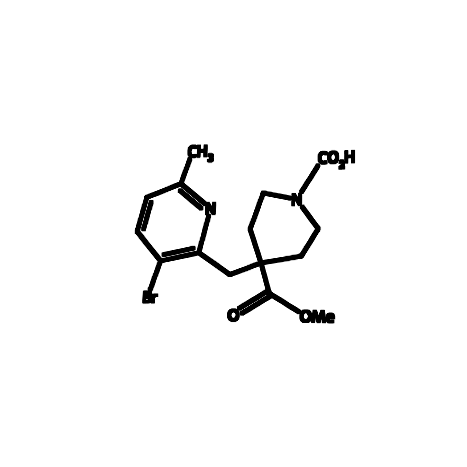 COC(=O)C1(Cc2nc(C)ccc2Br)CCN(C(=O)O)CC1